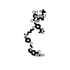 Cc1ncsc1-c1ccc(CNC(=O)[C@@H]2C[C@@H](O)CN2C(=O)[C@@H](NC(=O)C2(F)CC2)C(C)(C)C)c(OCCCCCN(C)Cc2ccc(OCCn3ccc4ccc(C(=O)NO)cc43)cc2)c1